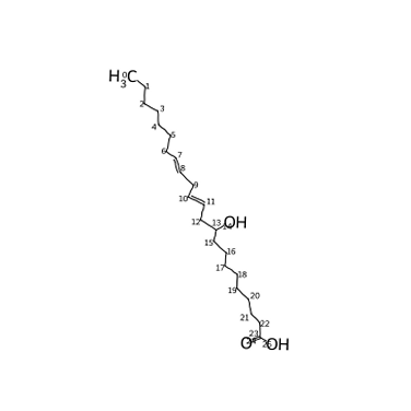 CCCCCCCC=CCC=CCC(O)CCCCCCCCC(=O)O